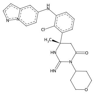 C[C@@]1(c2cccc(Nc3ccn4nccc4c3)c2Cl)CC(=O)N(C2CCOCC2)C(=N)N1